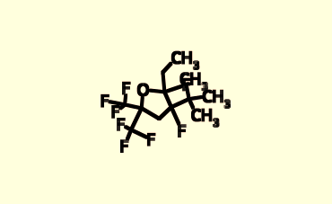 CCC1(F)OC(C(F)(F)F)(C(F)(F)F)CC1(F)C(C)(C)C